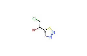 ClCC(Br)c1cnns1